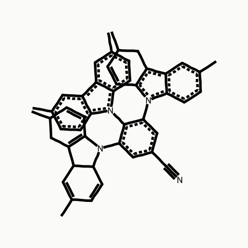 CC1=CC2C3=C(C=CC(C)C3)N(c3cc(C#N)cc(-n4c5c(c6cc(C)ccc64)CC(C)C=C5)c3-n3c4ccc(C)cc4c4cc(C)ccc43)C2C=C1